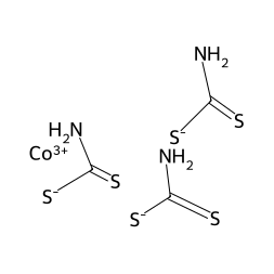 NC(=S)[S-].NC(=S)[S-].NC(=S)[S-].[Co+3]